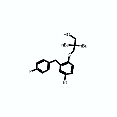 CCCCC(CO)(CCCC)CSc1ccc(CC)cc1Cc1ccc(F)cc1